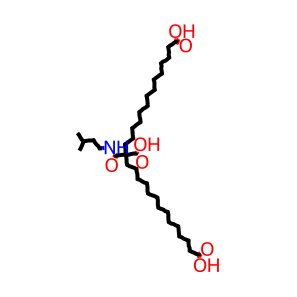 CC(C)CCNC(=O)C(CCCCCCCCCCCCCC(=O)O)(CCCCCCCCCCCCCC(=O)O)C(=O)O